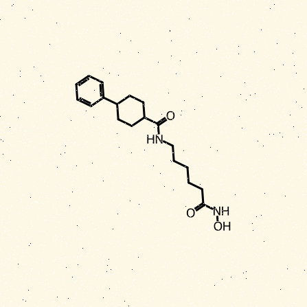 O=C(CCCCCNC(=O)C1CCC(c2ccccc2)CC1)NO